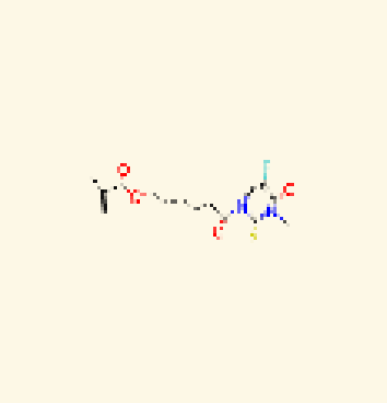 C=C(C)C(=O)OCCCCCC(=O)n1cc(F)c(=O)n(C)c1=S